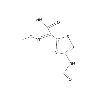 CON=C(C([NH])=O)c1nc(NC=O)cs1